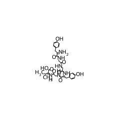 CC(C)[C@H](NC(=O)CNC(=O)[C@H](Cc1ccc(O)cc1)NC(=O)CNC(=O)CNC(=O)[C@@H](N)Cc1ccc(O)cc1)C(=O)O